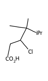 CC(C)C(C)(C)C(Cl)CC(=O)O